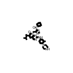 C=C(c1cc2cnc(Nc3ccc(N4CCNCC4)c(C)c3)nc2n(Cc2ncsc2[S+]([O-])c2ccccc2)c1=O)C(C)C